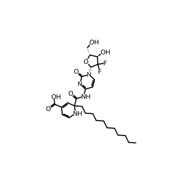 CCCCCCCCCCCC1(C(=O)Nc2ccn([C@@H]3O[C@H](CO)[C@@H](O)C3(F)F)c(=O)n2)C=C(C(=O)O)C=CN1